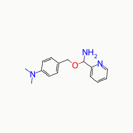 CN(C)c1ccc(COC(N)c2ccccn2)cc1